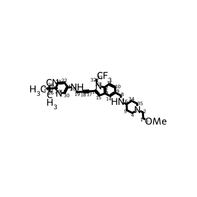 COCCN1CCC(NCc2ccc3c(c2)cc(C#CCNc2ccc(C(C)(C)C#N)nc2)n3CC(F)(F)F)CC1